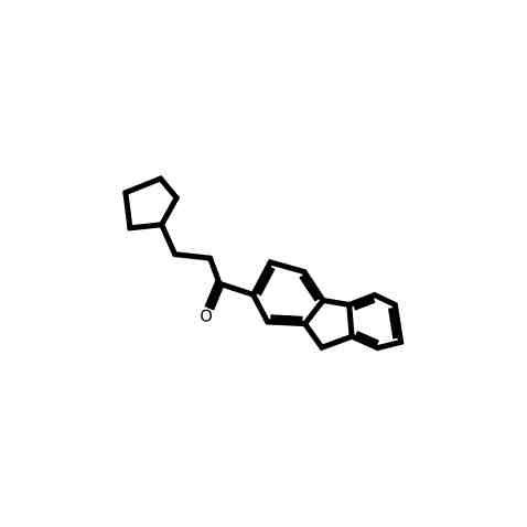 O=C(CCC1CCCC1)c1ccc2c(c1)Cc1ccccc1-2